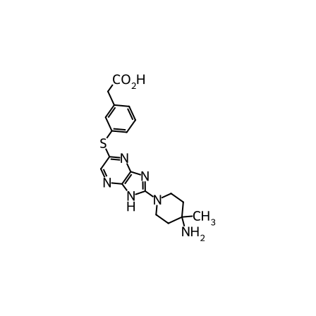 CC1(N)CCN(c2nc3nc(Sc4cccc(CC(=O)O)c4)cnc3[nH]2)CC1